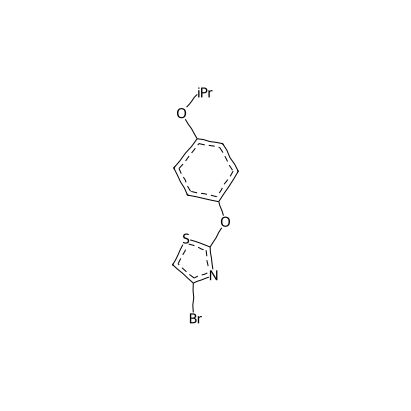 CC(C)Oc1ccc(Oc2nc(Br)cs2)cc1